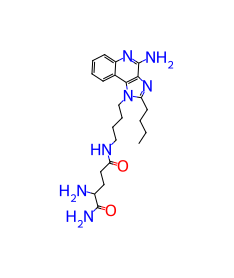 CCCCc1nc2c(N)nc3ccccc3c2n1CCCCNC(=O)CCC(N)C(N)=O